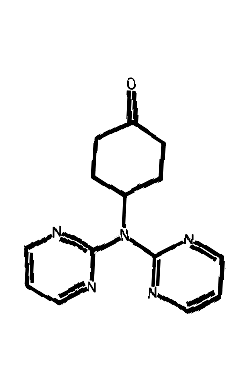 O=C1CCC(N(c2ncccn2)c2ncccn2)CC1